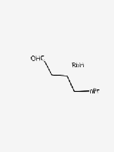 CCCCCCC=O.[RbH]